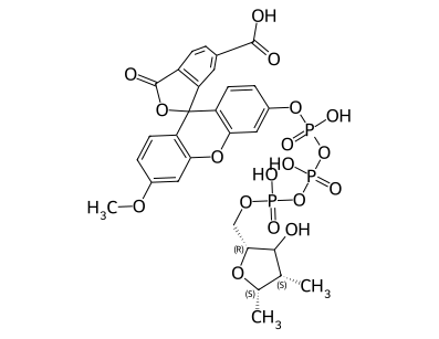 COc1ccc2c(c1)Oc1cc(OP(=O)(O)OP(=O)(O)OP(=O)(O)OC[C@H]3O[C@@H](C)[C@@H](C)C3O)ccc1C21OC(=O)c2ccc(C(=O)O)cc21